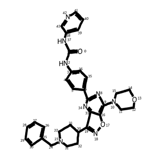 O=C(Nc1ccc(-c2nc(N3CCOCC3)c3onc(C4CCN(Cc5ccccc5)CC4)c3n2)cc1)Nc1cccnc1